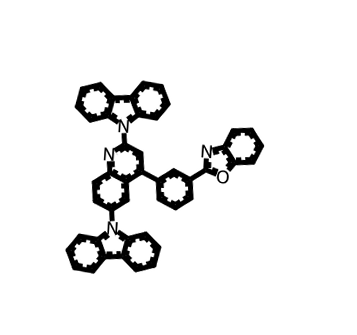 c1cc(-c2nc3ccccc3o2)cc(-c2cc(-n3c4ccccc4c4ccccc43)nc3ccc(-n4c5ccccc5c5ccccc54)cc23)c1